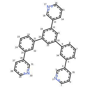 c1cncc(-c2cccc(-c3cc(-c4cccnc4)cc(-c4cccc(-c5cccnc5)c4)c3)c2)c1